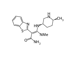 CN/C(N[C@@H]1CC[C@H](C)NC1)=C(\C(N)=O)c1nc2ccccc2s1